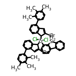 Cc1ccc(-c2cccc3c2C=C(C(C)C)[CH]3[Zr]([Cl])([Cl])([c]2cccc3c2[SiH2]c2ccccc2-3)[CH]2C(C(C)C)=Cc3c(-c4ccc(C)c(C)c4C)cccc32)c(C)c1C